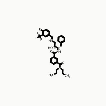 CCCN(CCC)C(=O)c1cccc(C(=O)N[C@@H](Cc2ccccc2)[C@H](O)CNCc2ccc(F)c(C(F)(F)F)c2)c1